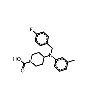 Cc1cccc(N(Cc2ccc(F)cc2)C2CCN(C(=O)O)CC2)c1